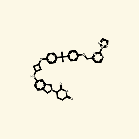 CC(C)(c1ccc(OCc2ccnc(-n3nccn3)n2)cc1)c1ccc(OC2CC(Nc3ccc4c(c3)CN(C3CCC(=O)NC3=O)C4)C2)cc1